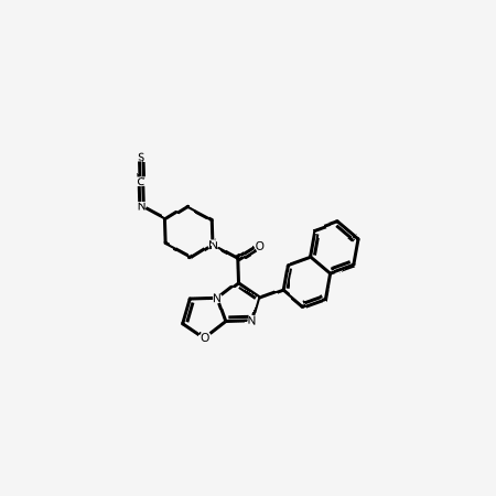 O=C(c1c(-c2ccc3ccccc3c2)nc2occn12)N1CCC(N=C=S)CC1